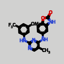 COc1cc(Nc2ncc(C)c(Nc3ccc4oc(=O)[nH]c4c3)n2)cc(C(F)(F)F)c1